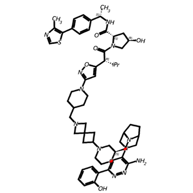 Cc1ncsc1-c1ccc([C@H](C)NC(=O)[C@@H]2C[C@@H](O)CN2C(=O)[C@@H](c2cc(N3CCC(CN4CC5(CC(N6CCO[C@H](CN7C8CCC7CN(c7cc(-c9ccccc9O)nnc7N)C8)C6)C5)C4)CC3)no2)C(C)C)cc1